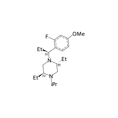 CC[C@H]1CN([C@@H](CC)c2ccc(OC)cc2F)[C@H](CC)CN1C(C)C